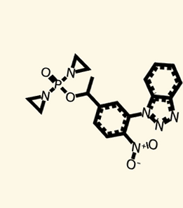 CC(OP(=O)(N1CC1)N1CC1)c1ccc([N+](=O)[O-])c(-n2nnc3ccccc32)c1